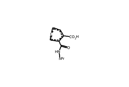 CCCNC(=O)c1ccccc1C(=O)O